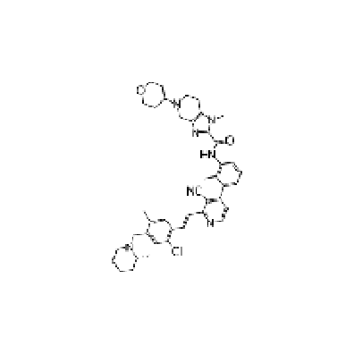 Cc1cc(/C=C/c2nccc(-c3cccc(NC(=O)c4nc5c(n4C)CCN(C4CCOCC4)C5)c3C)c2C#N)c(Cl)cc1CN1CCCC[C@H]1C